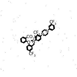 CN(Cc1cc(C(F)(F)F)ccc1Oc1ccccc1C(=O)O)c1ccc(N2CCN(c3cccc(C(F)(F)F)c3)CC2)c(C(F)(F)F)c1